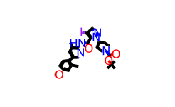 COc1ccc(-c2cnc(NC(=O)c3c(I)cnn3C3CCN(C(=O)OC(C)(C)C)CC3)c(C)c2)c(C)c1